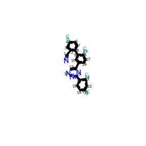 N#Cc1cc(F)ccc1-c1cc(-c2cnnc(-c3ccc(F)cc3F)n2)ccc1F